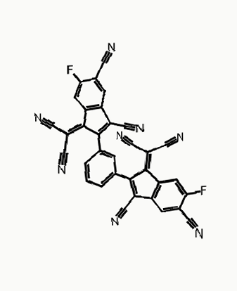 N#CC(C#N)=C1C(c2cccc(C3=C(C#N)c4cc(C#N)c(F)cc4C3=C(C#N)C#N)c2)=C(C#N)c2cc(C#N)c(F)cc21